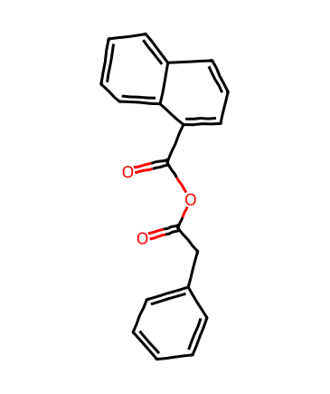 O=C(Cc1ccccc1)OC(=O)c1cccc2ccccc12